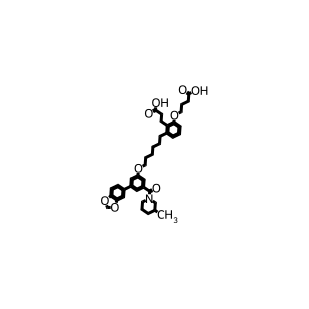 CC1CCCN(C(=O)c2cc(OCCCCCCc3cccc(OCCCC(=O)O)c3CCC(=O)O)cc(-c3ccc4c(c3)OCO4)c2)C1